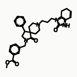 COC(=O)c1cccc(CN2CC(c3ccccc3)C3(CCN(CCCn4c5c([nH]c4=O)C=CCC5)CC3)C2=O)c1